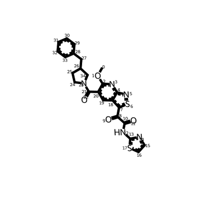 COc1nc2nsc(C(=O)C(=O)Nc3nccs3)c2cc1C(=O)N1CCC(Cc2ccccc2)C1